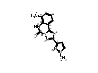 Cn1ccc(-c2nc3c4cccc(C(F)(F)F)c4[nH]c(=O)n3n2)n1